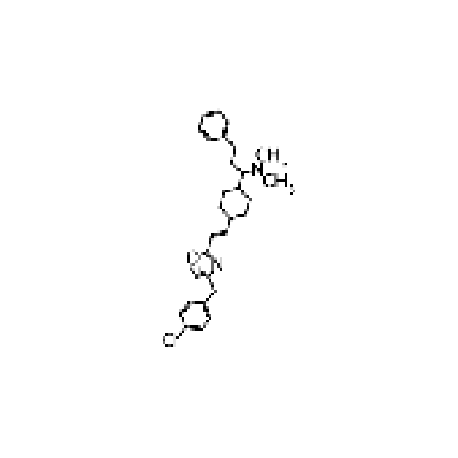 CN(C)C(CCc1ccccc1)C1CCC(C=Cc2nc(Cc3ccc(Cl)cc3)no2)CC1